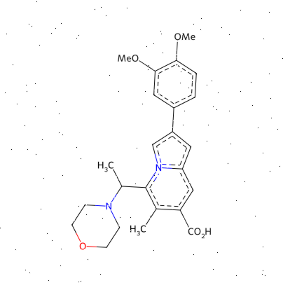 COc1ccc(-c2cc3cc(C(=O)O)c(C)c(C(C)N4CCOCC4)n3c2)cc1OC